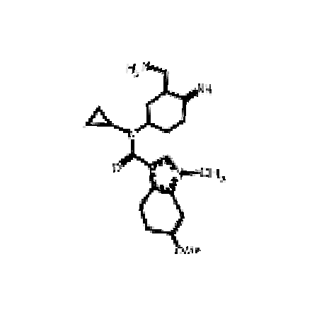 COC1CCc2c(C(=O)N(C3CC3)C3CCC(=N)C(CN)C3)cn(C)c2C1